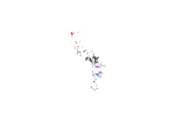 CC(C)(CC(=O)O[C@H]1CC[C@@]2(C)C(CC[C@]3(C)C2CC[C@@H]2[C@H]4CCC[C@]4(C(=O)N4CCC[C@H]4c4nc(-c5ccccc5)c[nH]4)CC[C@]23C)C1(C)C)C(=O)O